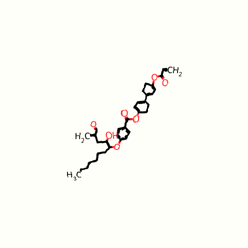 C=CC(=O)OC1=CC=C(C2=CC=C(OC(=O)c3ccc(OC(CCCCCCC)C(O)CC(=C)C=O)cc3)CC2)CC1